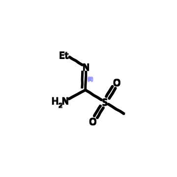 CC/N=C(\N)S(C)(=O)=O